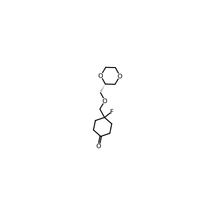 O=C1CCC(F)(COC[C@H]2COCCO2)CC1